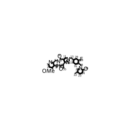 COc1ccnc(CNC(=O)c2cn(Cc3ccc(Cn4cc(C)ccc4=O)c(F)c3)nc2C2COC2)c1F